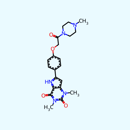 CN1CCN(C(=O)COc2ccc(-c3cc4c([nH]3)c(=O)n(C)c(=O)n4C)cc2)CC1